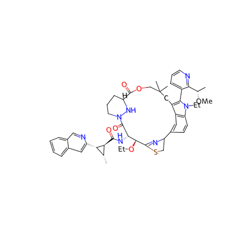 CCO[C@@H]1C2=NC(CS2)c2ccc3c(c2)c(c(-c2cccnc2[C@H](C)OC)n3CC)CC(C)(C)COC(=O)[C@@H]2CCCN(N2)C(=O)[C@H]1NC(=O)[C@H]1[C@H](C)[C@@H]1c1cc2ccccc2cn1